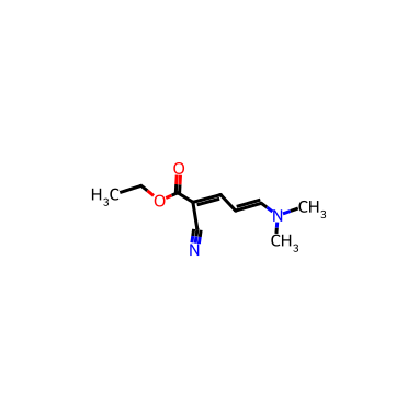 CCOC(=O)C(C#N)=CC=CN(C)C